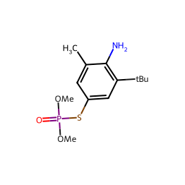 COP(=O)(OC)Sc1cc(C)c(N)c(C(C)(C)C)c1